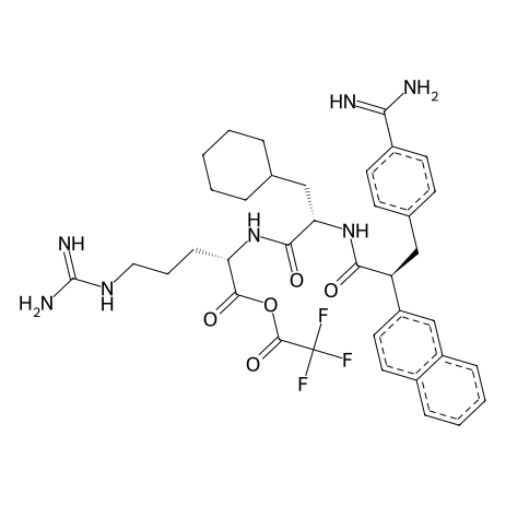 N=C(N)NCCC[C@H](NC(=O)[C@H](CC1CCCCC1)NC(=O)[C@@H](Cc1ccc(C(=N)N)cc1)c1ccc2ccccc2c1)C(=O)OC(=O)C(F)(F)F